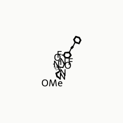 COc1ccc([C@]2(C)CC(=O)N(c3c(F)cc(C#Cc4ccccc4)cc3F)C(=O)N2C)nn1